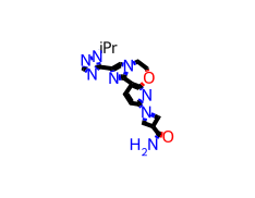 CC(C)n1ncnc1-c1cn2c(n1)-c1ccc(N3CC(C(N)=O)C3)nc1OCC2